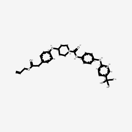 C=CCOC(=O)Cc1ccc(OC2CCN(C(=O)Oc3ccc(Oc4ccc(C(F)(F)F)cn4)cc3)CC2)cc1